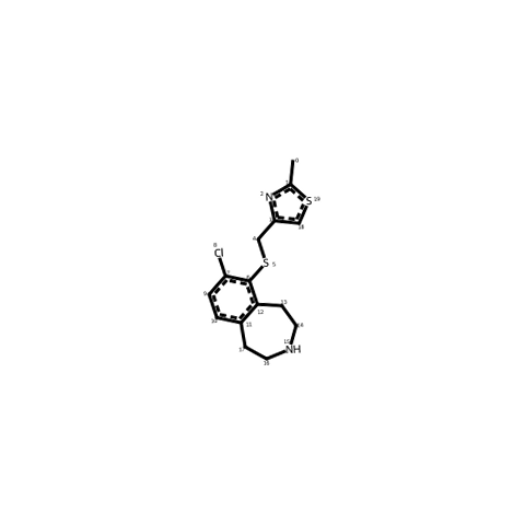 Cc1nc(CSc2c(Cl)ccc3c2CCNCC3)cs1